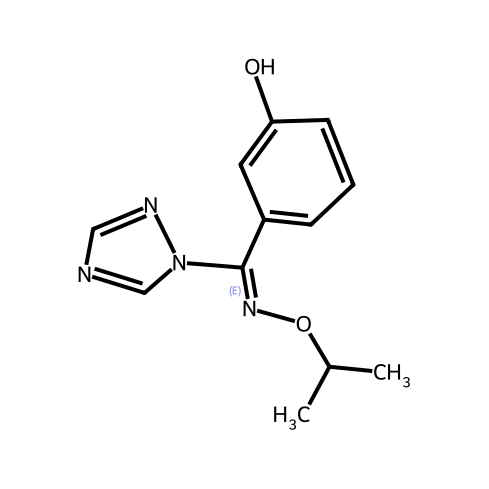 CC(C)O/N=C(\c1cccc(O)c1)n1cncn1